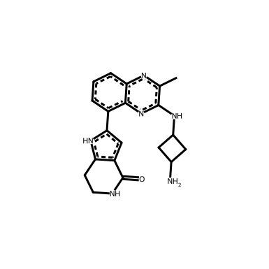 Cc1nc2cccc(-c3cc4c([nH]3)CCNC4=O)c2nc1NC1CC(N)C1